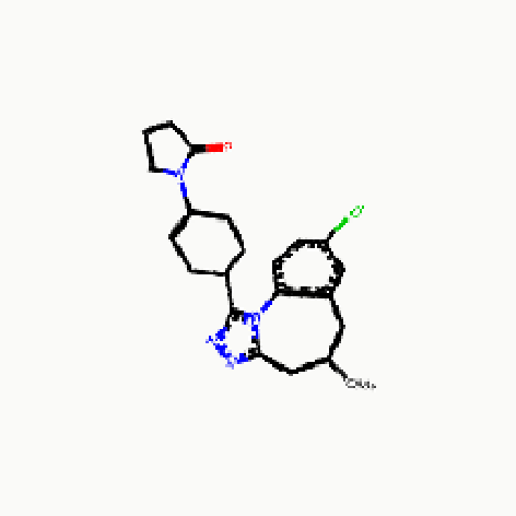 COC1Cc2cc(Cl)ccc2-n2c(nnc2C2CCC(N3CCCC3=O)CC2)C1